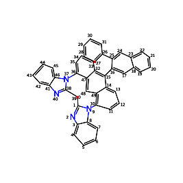 Cc1nc2ccccc2n1-c1cccc2c(-c3cc4ccccc4cc3-c3ccccc3)c3cccc(-n4c(C)nc5ccccc54)c3cc12